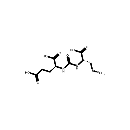 [11CH3]SC[C@H](NC(=O)N[C@@H](CCC(=O)O)C(=O)O)C(=O)O